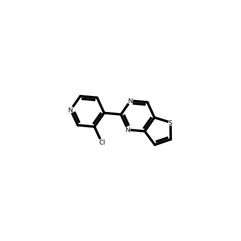 Clc1cnccc1-c1n[c]c2sccc2n1